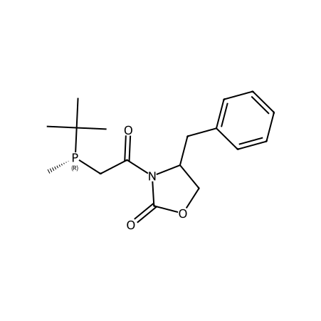 C[P@@](CC(=O)N1C(=O)OCC1Cc1ccccc1)C(C)(C)C